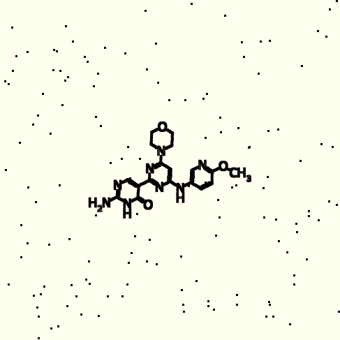 COc1ccc(Nc2cc(N3CCOCC3)nc(-c3cnc(N)[nH]c3=O)n2)cn1